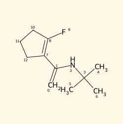 C=C(NC(C)(C)C)C1=C(F)CCC1